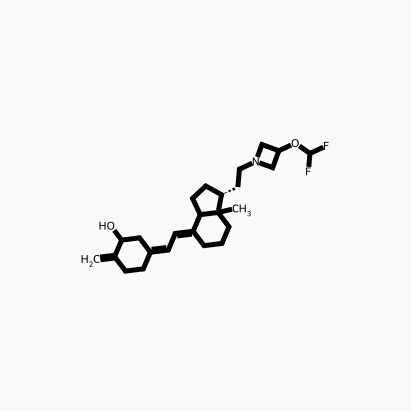 C=C1CC/C(=C/C=C2\CCCC3(C)C2CC[C@@H]3CCN2CC(OC(F)F)C2)CC1O